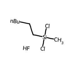 CCCCCC[Si](C)(Cl)Cl.F